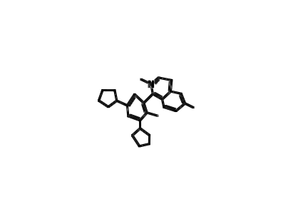 Cc1ccc2c(-c3cc(C4CCCC4)cc(C4CCCC4)c3C)[n+](C)ccc2c1